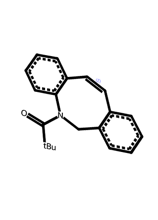 CC(C)(C)C(=O)N1Cc2ccccc2/C=C\c2ccccc21